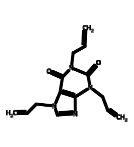 C=CCn1c(=O)c2c(ncn2CC=C)n(CC=C)c1=O